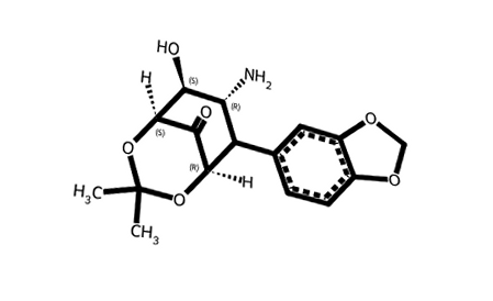 CC1(C)O[C@@H]2C(=O)[C@H](O1)C(c1ccc3c(c1)OCO3)[C@@H](N)[C@@H]2O